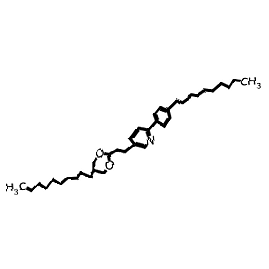 CCCCCCCCCCc1ccc(-c2ccc(CCC3OCC(CCCCCCCCCC)CO3)cn2)cc1